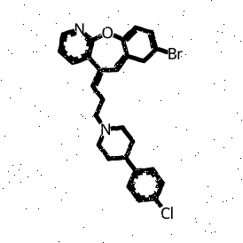 Clc1ccc(C2CCN(CCC=C3C=C4CC(Br)=CC=C4Oc4ncccc43)CC2)cc1